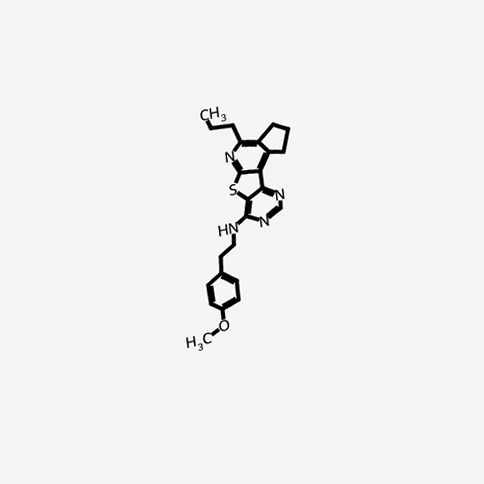 CCCc1nc2sc3c(NCCc4ccc(OC)cc4)ncnc3c2c2c1CCC2